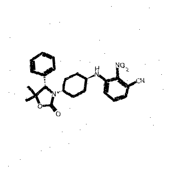 CC1(C)OC(=O)N([C@H]2CC[C@H](Nc3cccc(C#N)c3[N+](=O)[O-])CC2)[C@H]1c1ccccc1